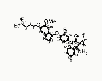 CCN(CC)CCCOc1cc2ncnc(Oc3ccc(N(C(=O)[C@]4(C(N)=O)C[C@H]4C)c4ccc(F)cc4)cc3F)c2cc1OC